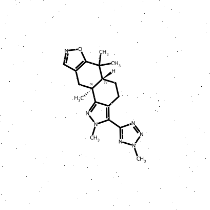 Cn1nnc(-c2c3c(nn2C)[C@@]2(C)Cc4cnoc4C(C)(C)[C@@H]2CC3)n1